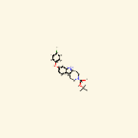 CC(C)(C)OC(=O)N1CCc2[nH]c3cc(Oc4ccc(F)cc4)ccc3c2CC1